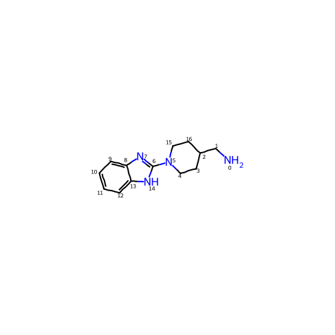 NCC1CCN(c2nc3ccccc3[nH]2)CC1